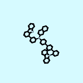 c1cc(-c2cccc3c2oc2ccccc23)cc(N(c2ccc(-c3ccc(-c4ccccc4-n4c5ccccc5c5ccccc54)cc3)cc2)c2ccc3ccccc3c2)c1